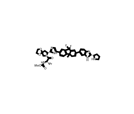 COC(=O)N[C@H](C(=O)N1CC2(C[C@@H]1c1ncc(-c3ccc4c(c3)C(F)(F)C3=CC(c5ccc6nc([C@@H]7CCCN7)[nH]c6c5)=CCC34C)[nH]1)OCCO2)C(C)C